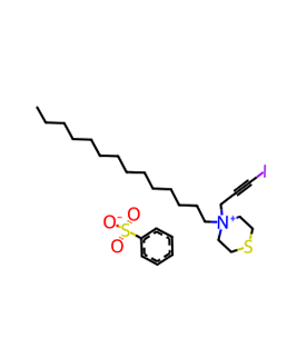 CCCCCCCCCCCCCC[N+]1(CC#CI)CCSCC1.O=S(=O)([O-])c1ccccc1